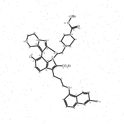 CCOC(=O)c1c(CCCOc2cccc3cc(F)ccc23)c2ccc(Cl)c(-c3c(C)nn4c3COCC4)c2n1CCN1CCN(C(=O)OC(C)(C)C)CC1